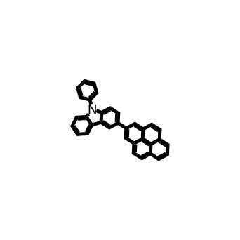 c1ccc(-n2c3ccccc3c3cc(-c4cc5ccc6cccc7ccc(c4)c5c67)ccc32)cc1